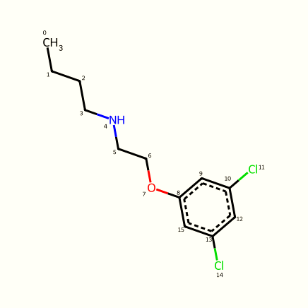 CCCCNCCOc1cc(Cl)cc(Cl)c1